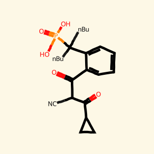 CCCCC(CCCC)(c1ccccc1C(=O)C(C#N)C(=O)C1CC1)P(=O)(O)O